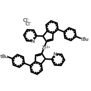 CC(C)(C)c1ccc(-c2cccc3c2C=[C]([Zr+2][C]2=Cc4c(-c5ccc(C(C)(C)C)cc5)cccc4C2c2ccccn2)C3c2ccccn2)cc1.[Cl-].[Cl-]